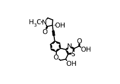 CN1CC[C@@](O)(C#Cc2ccc3c(c2)-c2nc(C(=O)O)sc2C(O)CO3)C1=O